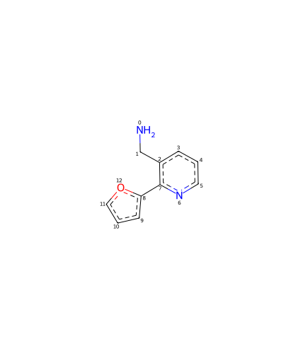 NCc1cccnc1-c1ccco1